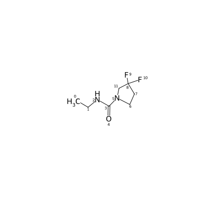 CCNC(=O)N1CCC(F)(F)C1